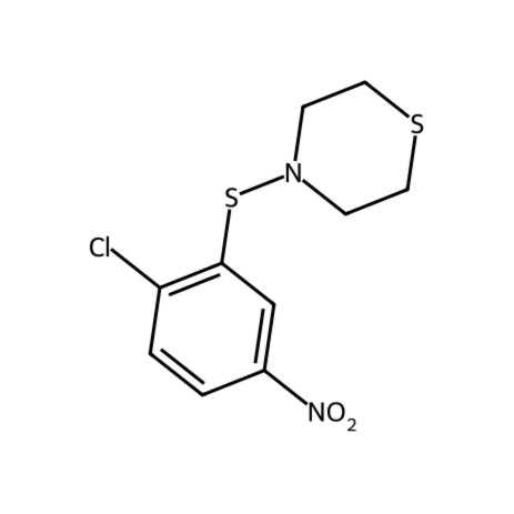 O=[N+]([O-])c1ccc(Cl)c(SN2CCSCC2)c1